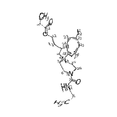 CCNC(=O)N1CC[N+](CCCCOC(=O)CC)(c2ccc(F)cc2)CC1